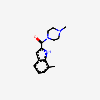 Cc1cccc2cc(C(=O)N3CCN(C)CC3)[nH]c12